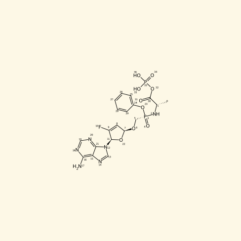 C[C@H](N[P@](=O)(CO[C@@H]1C=C(F)[C@H](n2cnc3c(N)ncnc32)O1)Oc1ccccc1)C(=O)OP(=O)(O)O